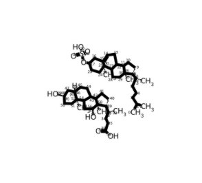 CC(C)CCC[C@@H](C)[C@H]1CCC2C3CC=C4CC(OS(=O)(=O)O)CC[C@]4(C)C3CC[C@@]21C.C[C@H](CCC(=O)O)[C@H]1CCC2C3CC[C@@H]4C[C@H](O)CC[C@]4(C)C3C[C@H](O)[C@@]21C